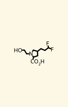 O=C(O)C1CC(CCC(F)F)CN1CCO